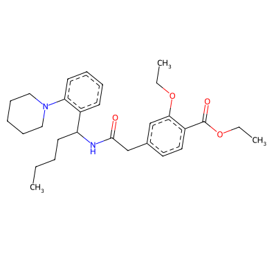 CCCCC(NC(=O)Cc1ccc(C(=O)OCC)c(OCC)c1)c1ccccc1N1CCCCC1